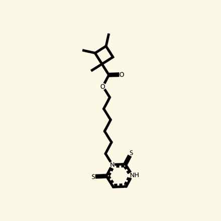 CC1CC(C)(C(=O)OCCCCCCn2c(=S)cc[nH]c2=S)C1C